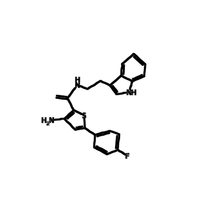 C=C(NCCc1c[nH]c2ccccc12)c1sc(-c2ccc(F)cc2)cc1N